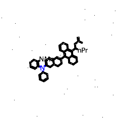 C=C(C)CC(CCC)C1=C2CCC=CC2=C(C2=CC3=CC=C(N(C4=C(NC)CCC=C4)C4C=CC=CC4)CC3CC2)C2CCCC=C12